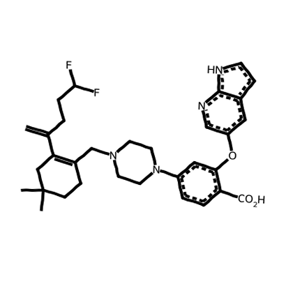 C=C(CCC(F)F)C1=C(CN2CCN(c3ccc(C(=O)O)c(Oc4cnc5[nH]ccc5c4)c3)CC2)CCC(C)(C)C1